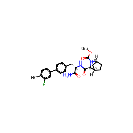 CC(C)(C)OC(=O)N1[C@@H]2CC[C@@H](C2)[C@H]1C(=O)N[C@@H](Cc1ccc(-c2ccc(C#N)c(F)c2)cc1)C(N)=O